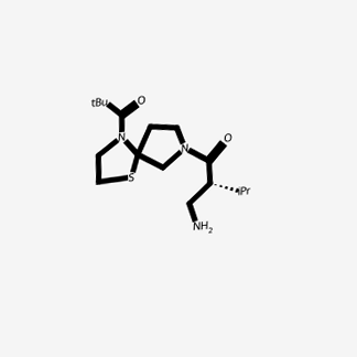 CC(C)[C@H](CN)C(=O)N1CCC2(C1)SCCN2C(=O)C(C)(C)C